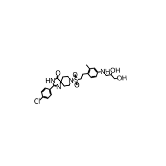 Cc1cc(NCC(O)CO)ccc1CCS(=O)(=O)N1CCC2(CC1)N=C(c1ccc(Cl)cc1)NC2=O